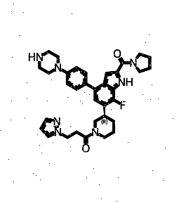 O=C(CCn1cccn1)N1CCC[C@H](c2cc(-c3ccc(N4CCNCC4)cc3)c3cc(C(=O)N4CCCC4)[nH]c3c2F)C1